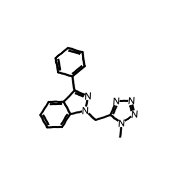 Cn1nnnc1Cn1nc(-c2ccccc2)c2ccccc21